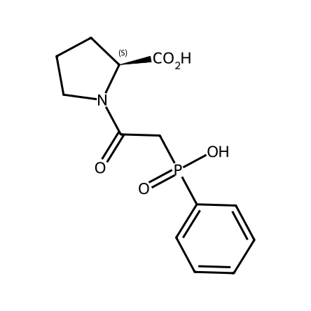 O=C(O)[C@@H]1CCCN1C(=O)CP(=O)(O)c1ccccc1